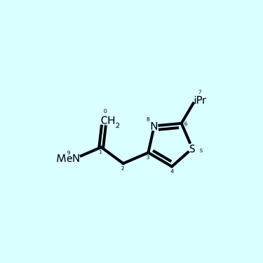 C=C(Cc1csc(C(C)C)n1)NC